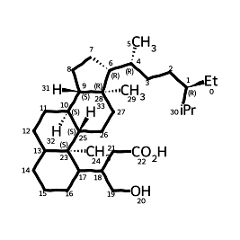 CC[C@H](CC[C@@H](C)[C@H]1CC[C@H]2[C@@H]3CCC4CCCC(C(CO)CC(=O)O)[C@]4(C)[C@H]3CC[C@]12C)C(C)C